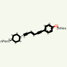 CCCCCCOc1ccc(C#C/C=C/C#C[C@H]2CC[C@H](CCCCC)CC2)cc1